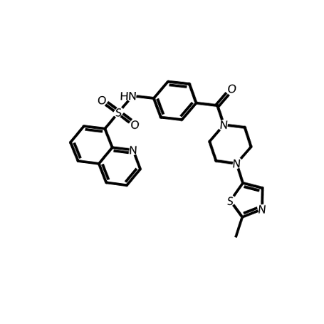 Cc1ncc(N2CCN(C(=O)c3ccc(NS(=O)(=O)c4cccc5cccnc45)cc3)CC2)s1